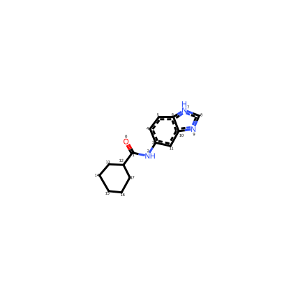 O=C(Nc1ccc2[nH]cnc2c1)C1CCCCC1